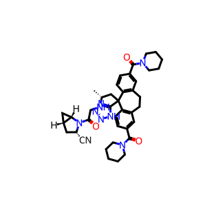 C[C@H](CC1(c2nnn[nH]2)c2ccc(C(=O)N3CCCCC3)cc2CCc2cc(C(=O)N3CCCCC3)ccc21)NCC(=O)N1[C@H](C#N)C[C@@H]2C[C@@H]21